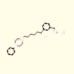 CNC(=O)c1cc(C(O)CCCCCN2CCN(c3ccccc3)CC2)ccc1O